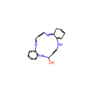 OC1/C=C\NC2=CC=CC\C2=N/C=C\C=N\c2ccccc2N1